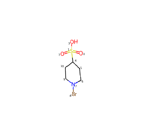 O=S(=O)(O)C1CCN(Br)CC1